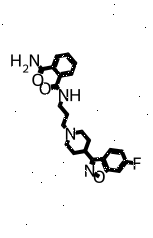 NC(=O)c1ccccc1C(=O)NCCCN1CCC(c2noc3cc(F)ccc23)CC1